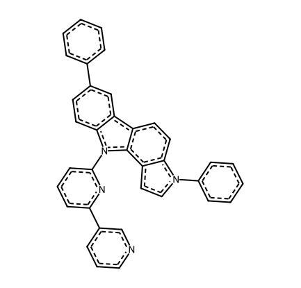 c1ccc(-c2ccc3c(c2)c2ccc4c(ccn4-c4ccccc4)c2n3-c2cccc(-c3cccnc3)n2)cc1